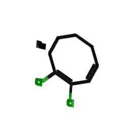 ClC1=C(Cl)CCCCC=C1.[Ru]